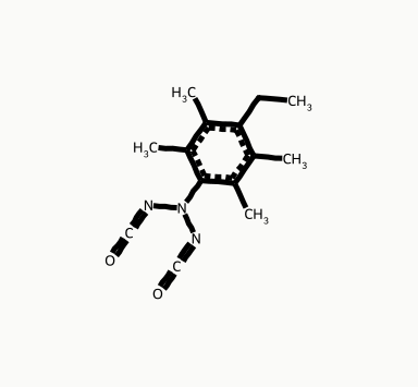 CCc1c(C)c(C)c(N(N=C=O)N=C=O)c(C)c1C